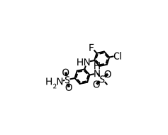 CS(=O)(=O)Nc1ccc(S(N)(=O)=O)cc1Nc1ccc(Cl)cc1F